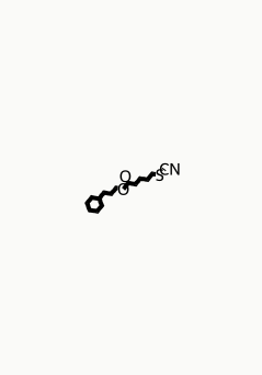 N#CSCCCCC(=O)OCCCC1CCCCC1